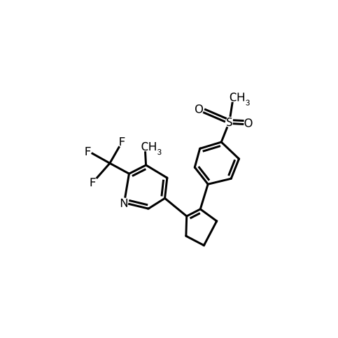 Cc1cc(C2=C(c3ccc(S(C)(=O)=O)cc3)CCC2)cnc1C(F)(F)F